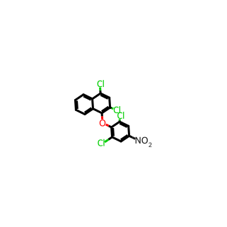 O=[N+]([O-])c1cc(Cl)c(Oc2c(Cl)cc(Cl)c3ccccc23)c(Cl)c1